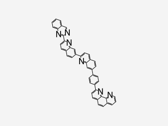 c1ccc2nc(-c3ccc4ccc(-c5ccc6ccc(-c7ccc(-c8ccc9ccc%10cccnc%10c9n8)cc7)cc6n5)cc4n3)ncc2c1